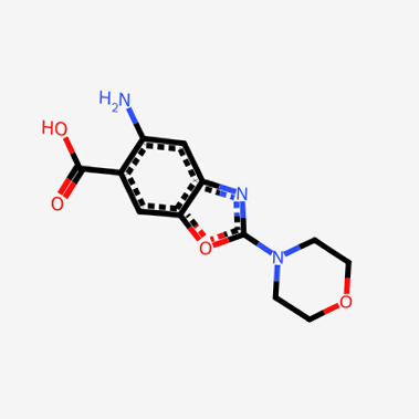 Nc1cc2nc(N3CCOCC3)oc2cc1C(=O)O